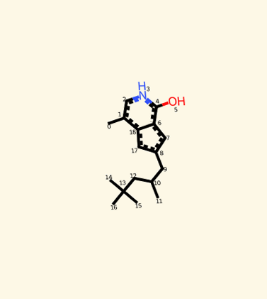 Cc1c[nH]c(O)c2cc(CC(C)CC(C)(C)C)cc1-2